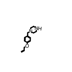 C=CCOc1ccc(CN2CCNCC2)cc1